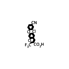 N#Cc1ccc(Oc2cc3c(cc2Cl)C=C(C(=O)O)[C@@H](C(F)(F)F)O3)cc1